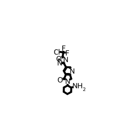 NC1CCCCC1N1Cc2ncc(-c3noc(C(F)(F)Cl)n3)cc2C1=O